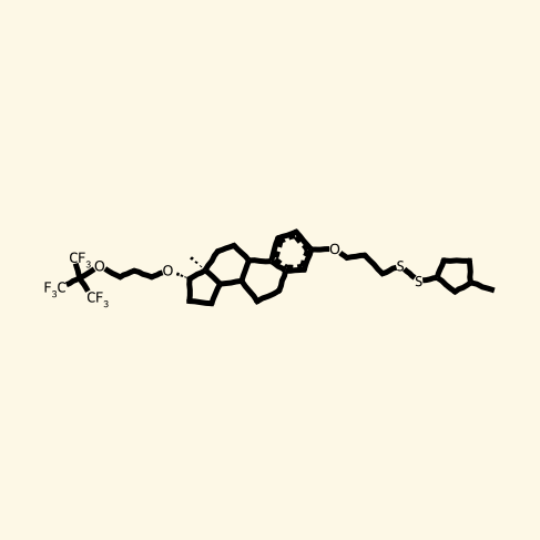 CC1CCC(SSCCCOc2ccc3c(c2)CCC2C3CC[C@@]3(C)C2CC[C@@H]3OCCCOC(C(F)(F)F)(C(F)(F)F)C(F)(F)F)C1